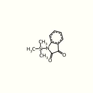 C[Si](C)(C)N1C(=O)C(=O)c2ccccc21